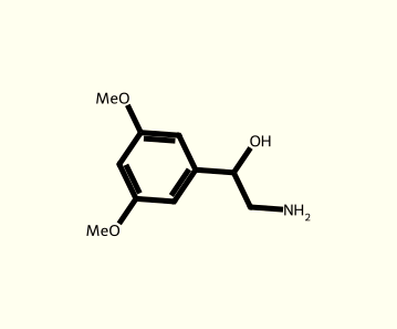 COc1cc(OC)cc(C(O)CN)c1